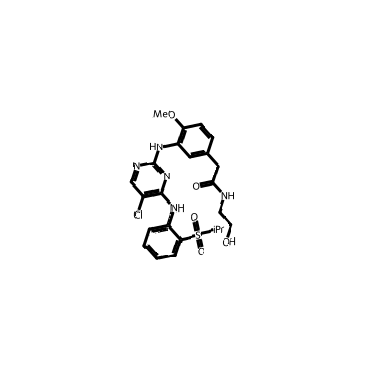 COc1ccc(CC(=O)NCCO)cc1Nc1ncc(Cl)c(Nc2ccccc2S(=O)(=O)C(C)C)n1